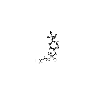 CCOS(=O)(=O)Cc1ccc(C(F)(F)F)cn1